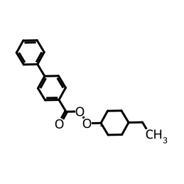 CCC1CC[C](OOC(=O)c2ccc(-c3ccccc3)cc2)CC1